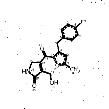 Cc1cc(Cc2ccc(F)cc2)c(C(=O)C2=C(CO)C(=O)NC2)o1